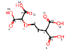 O=C(O)C(CCOC(C(=O)O)C(=O)O)C(=O)O